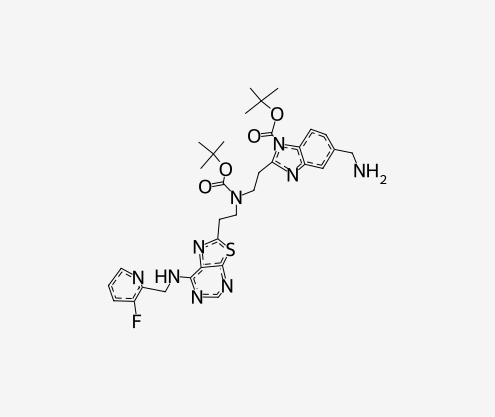 CC(C)(C)OC(=O)N(CCc1nc2c(NCc3ncccc3F)ncnc2s1)CCc1nc2cc(CN)ccc2n1C(=O)OC(C)(C)C